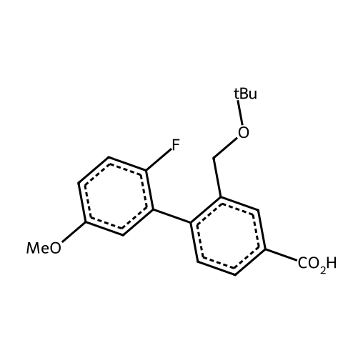 COc1ccc(F)c(-c2ccc(C(=O)O)cc2COC(C)(C)C)c1